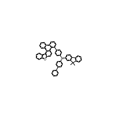 CC1(C)c2ccccc2-c2ccc(N(c3ccc(-c4ccccc4)cc3)c3ccc(-c4cccc5c6ccccc6c6c(ccc7oc8ccccc8c76)c45)cc3)cc21